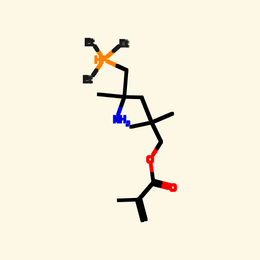 C=C(C)C(=O)OCC(C)(C)CC(C)(N)C[PH](CC)(CC)CC